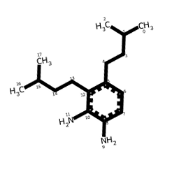 CC(C)CCc1ccc(N)c(N)c1CCC(C)C